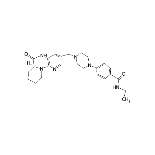 CCNC(=O)c1ccc(N2CCN(Cc3cnc4c(c3)NC(=O)[C@@H]3CCCCN43)CC2)cc1